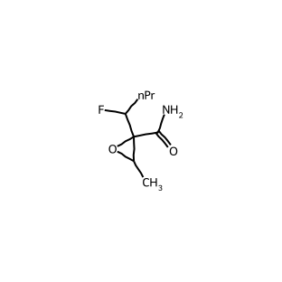 CCCC(F)C1(C(N)=O)OC1C